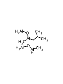 CC(C)[CH2][Al]([CH3])[O][AlH2].[CH3][AlH][O][AlH2]